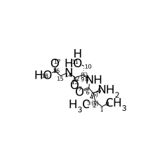 CC[C@H](C)[C@H](N)C(=O)N[C@@H](CO)C(=O)NCC(=O)O